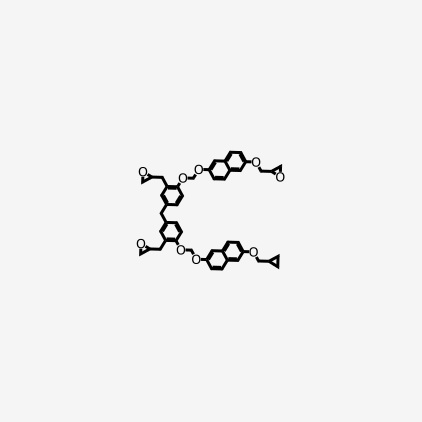 c1cc(OCOc2ccc3cc(OCC4CC4)ccc3c2)c(CC2CO2)cc1Cc1ccc(OCOc2ccc3cc(OCC4CO4)ccc3c2)c(CC2CO2)c1